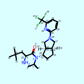 CC(C)N(C(=O)[C@@H](N)CC(C)(C)C)[C@H]1CC[C@@H]2CN(c3cccc(C(F)(F)F)n3)C[C@@H]21